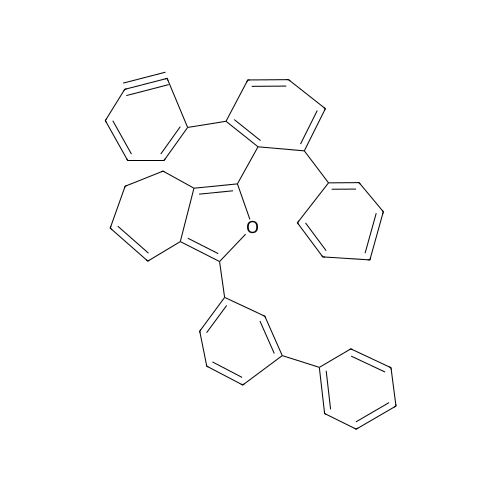 c1cccc(-c2cccc(-c3ccccc3)c2-c2oc(-c3cccc(-c4ccccc4)c3)c3c2CCC=C3)c#1